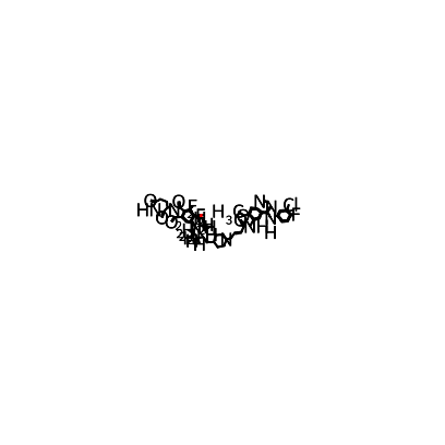 [2H]C1([2H])N(CC2CCN(C/C=C/C(=O)Nc3cc4c(Nc5ccc(F)c(Cl)c5)ncnc4cc3OC)CC2)C([2H])([2H])C([2H])([2H])N(c2cc3c(c(F)c2F)C(=O)N(C2CCC(=O)NC2=O)C3=O)C1([2H])[2H]